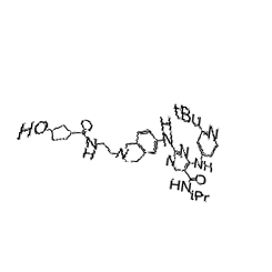 CC(C)NC(=O)c1cnc(Nc2ccc3c(c2)CCN(CCNC(=O)C2CCC(O)C2)C3)nc1Nc1ccnc(C(C)(C)C)c1